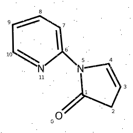 O=C1CC=CN1c1ccccn1